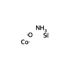 N.[Co].[O].[Si]